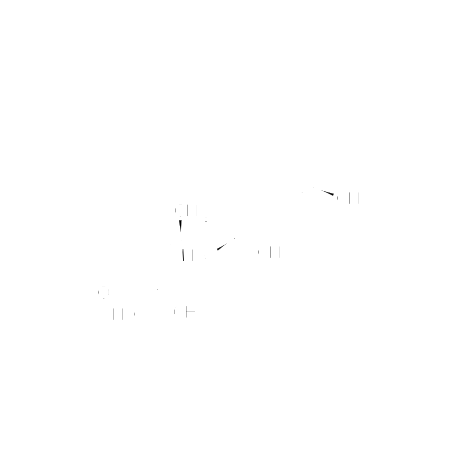 CC1(C)C(=O)CC[C@@]2(C)C1CC[C@]1(C)C2CCC2C3CCC[C@]3(C)CCC21C